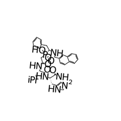 CC(C)C[C@H](NC(=O)CP(=O)(O)C(Cc1ccccc1)NC(=O)c1ccc2ccccc2c1)C(=O)N[C@@H](Cc1cnc[nH]1)C(N)=O